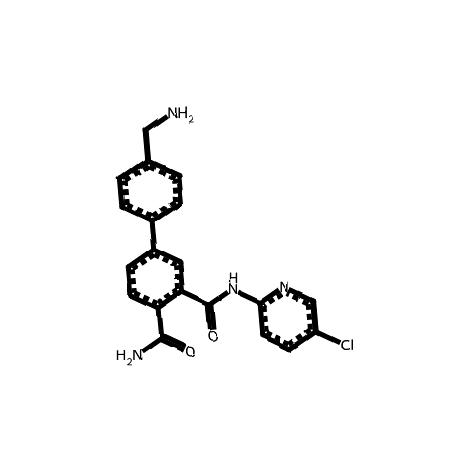 NCc1ccc(-c2ccc(C(N)=O)c(C(=O)Nc3ccc(Cl)cn3)c2)cc1